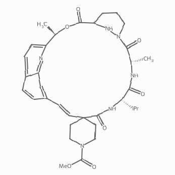 COC(=O)N1CCC2(/C=C/c3ccc4ccc(nc4c3)[C@@H](C)OC(=O)C3CCCN(N3)C(=O)[C@H](C)NC(=O)[C@H](C(C)C)NC2=O)CC1